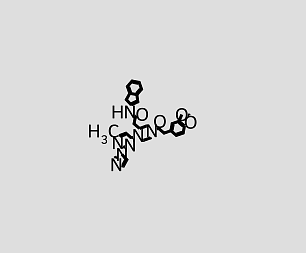 Cc1cc(N2CCN(C(=O)Cc3ccc4c(c3)OCO4)CC2CC(=O)NC2=Cc3ccccc3C2)nc(-n2ccnc2)n1